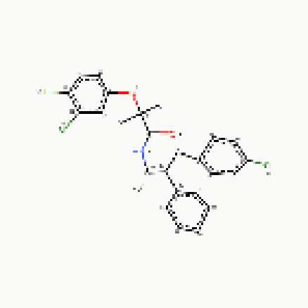 C[C@H](NC(=O)C(C)(C)Oc1ccc(F)c(Cl)c1)C(Cc1ccc(Cl)cc1)c1ccccc1